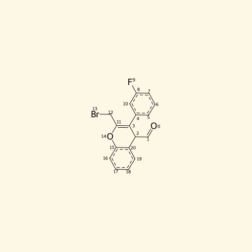 O=CC1C(c2cccc(F)c2)=C(CBr)Oc2ccccc21